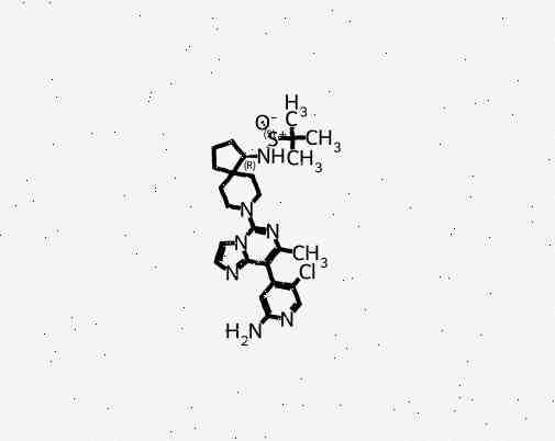 Cc1nc(N2CCC3(CCC[C@H]3N[S@+]([O-])C(C)(C)C)CC2)n2ccnc2c1-c1cc(N)ncc1Cl